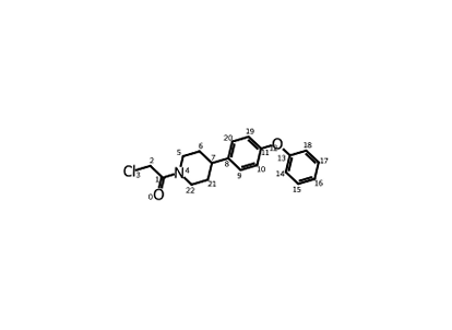 O=C(CCl)N1CCC(c2ccc(Oc3ccccc3)cc2)CC1